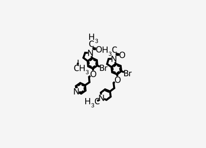 CC(=O)N1CCc2cc(OCCC3=CCN(C)CC3)c(Br)cc21.CC(=O)N1CCc2cc(OCCc3ccncc3)c(Br)cc21.CI